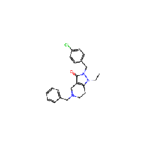 CCn1c2c(c(=O)n1Cc1ccc(Cl)cc1)CN(Cc1ccccc1)CC2